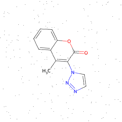 Cc1c(-n2ccnn2)c(=O)oc2ccccc12